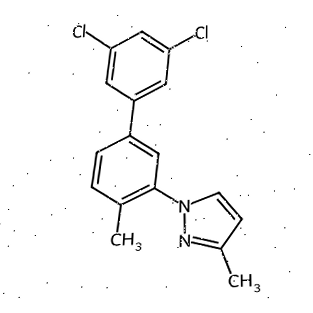 Cc1ccn(-c2cc(-c3cc(Cl)cc(Cl)c3)ccc2C)n1